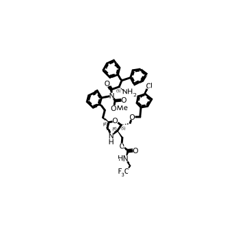 COC(=O)N(C(=O)[C@@H](N)C(c1ccccc1)c1ccccc1)c1ccccc1CC[C@@H]1CN[C@H](COC(=O)NCC(F)(F)F)[C@@H](COCc2ccc(Cl)cc2)O1